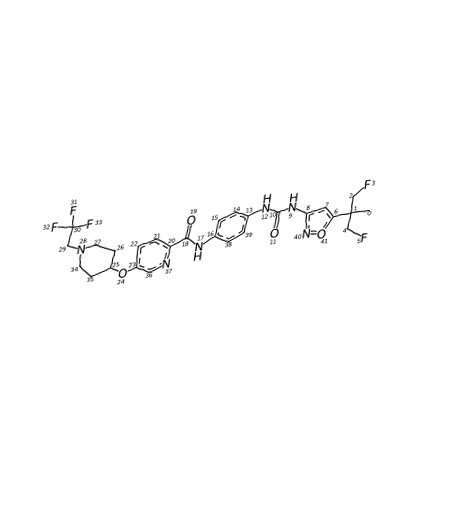 CC(CF)(CF)c1cc(NC(=O)Nc2ccc(NC(=O)c3ccc(OC4CCN(CC(F)(F)F)CC4)cn3)cc2)no1